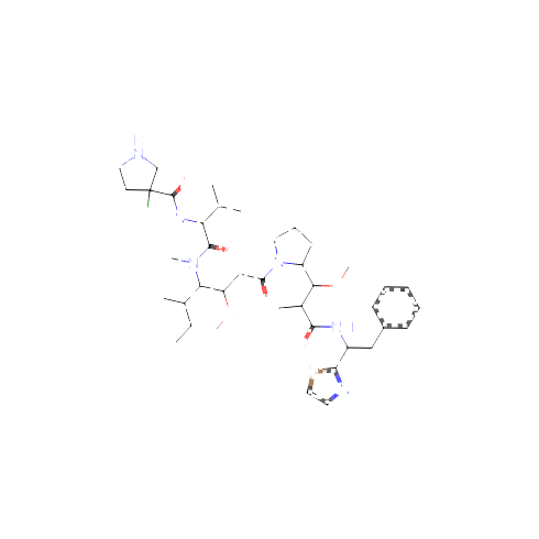 CCC(C)C(C(CC(=O)N1CCCC1C(OC)C(C)C(=O)NC(Cc1ccccc1)c1nccs1)OC)N(C)C(=O)C(NC(=O)C1(F)CCNC1)C(C)C